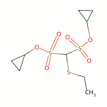 CCSC(S(=O)(=O)OC1CC1)S(=O)(=O)OC1CC1